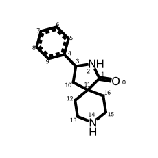 O=C1NC(c2ccccc2)CC12CCNCC2